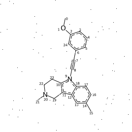 COc1cccc(C#Cn2c3c(c4cc(C)ccc42)CN(C)CC3)c1